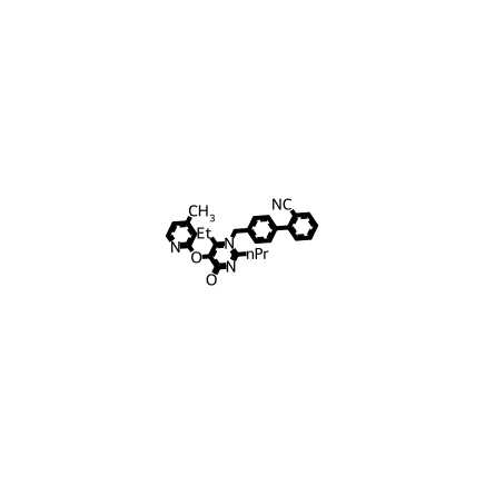 CCCc1nc(=O)c(Oc2cc(C)ccn2)c(CC)n1Cc1ccc(-c2ccccc2C#N)cc1